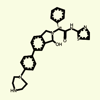 O=C(Nc1nccs1)[C@@H](c1ccccc1)N1Cc2ccc(-c3ccc(N4CCNCC4)cc3)cc2C1O